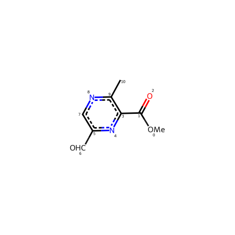 COC(=O)c1nc(C=O)cnc1C